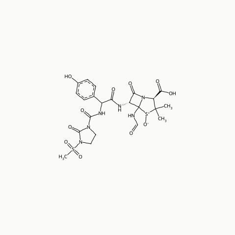 CC1(C)[C@H](C(=O)O)N2C(=O)[C@@H](NC(=O)C(NC(=O)N3CCN(S(C)(=O)=O)C3=O)c3ccc(O)cc3)C2(NC=O)[S+]1[O-]